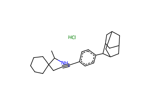 CC(N)C1(CC#Cc2ccc(C3C4CC5CC(C4)CC3C5)cc2)CCCCC1.Cl